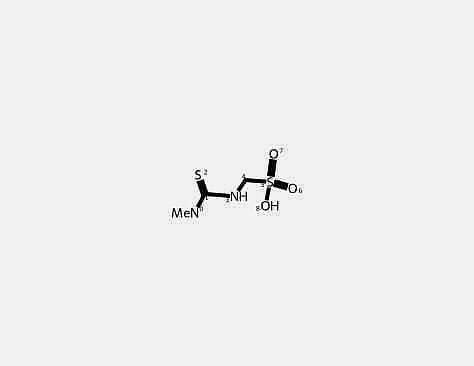 CNC(=S)NCS(=O)(=O)O